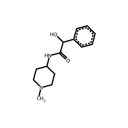 CN1CCC(NC(=O)C(O)c2ccccc2)CC1